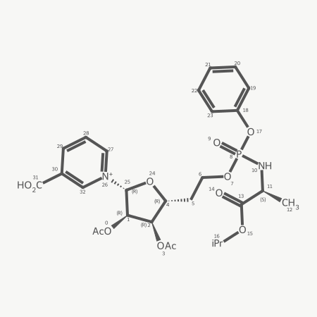 CC(=O)O[C@@H]1[C@H](OC(C)=O)[C@@H](CCOP(=O)(N[C@@H](C)C(=O)OC(C)C)Oc2ccccc2)O[C@H]1[n+]1cccc(C(=O)O)c1